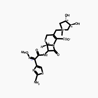 CO/N=C(\C(=O)NC1C(=O)N2C(C(=O)[O-])=C(C[N+]3(C)C[C@H](O)[C@@H](O)C3)CS[C@@H]12)c1csc(N)n1